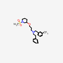 CS(=O)(=O)N1CCCC(OCCCN(CCc2ccccc2)Cc2cccc(C(F)(F)F)c2)C1